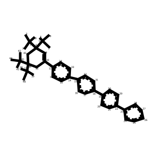 CC(C)(C)C1(C(C)(C)C)C=C(c2ccc(-c3ccc(-c4ccc(-c5ccccc5)cc4)cc3)cc2)CC(C(C)(C)C)(C(C)(C)C)C1